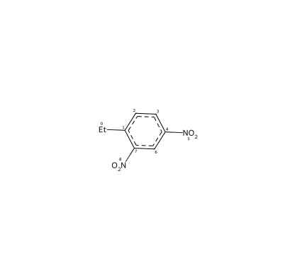 [CH2]Cc1ccc([N+](=O)[O-])cc1[N+](=O)[O-]